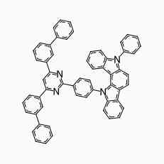 c1ccc(-c2cccc(-c3cc(-c4cccc(-c5ccccc5)c4)nc(-c4ccc(-n5c6ccccc6c6ccc7c(c8ccccc8n7-c7ccccc7)c65)cc4)n3)c2)cc1